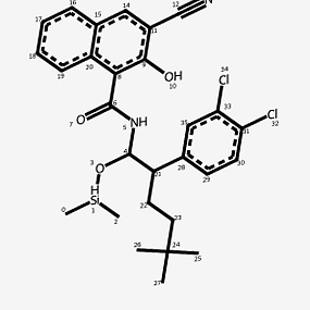 C[SiH](C)OC(NC(=O)c1c(O)c(C#N)cc2ccccc12)C(CCC(C)(C)C)c1ccc(Cl)c(Cl)c1